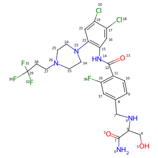 NC(=O)C(CO)NCc1ccc(C(=O)Nc2cc(Cl)c(Cl)cc2N2CCN(CCC(F)(F)F)CC2)c(F)c1